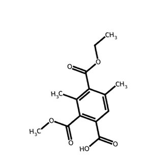 CCOC(=O)c1c(C)cc(C(=O)O)c(C(=O)OC)c1C